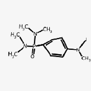 CN(I)c1ccc(P(=O)(N(C)C)N(C)C)cc1